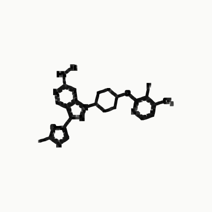 CCNc1cc2c(cn1)c(-c1cnc(C)o1)nn2C1CCC(Oc2nccc(C(F)(F)F)c2F)CC1